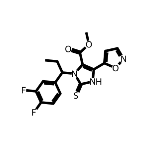 CCC(c1ccc(F)c(F)c1)n1c(C(=O)OC)c(-c2ccno2)[nH]c1=S